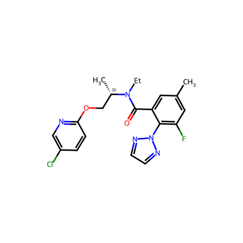 CCN(C(=O)c1cc(C)cc(F)c1-n1nccn1)[C@@H](C)COc1ccc(Cl)cn1